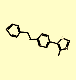 Cc1ncsc1-c1ccc([CH]Cc2ccccc2)cc1